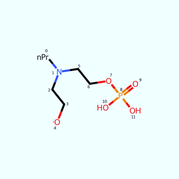 CCCN(CC[O])CCOP(=O)(O)O